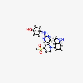 CS(=O)(=O)C1CCN(c2cccc3[nH]cc(-c4ccnc(NC5CCC(O)CC5)n4)c23)CC1